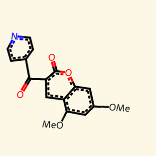 COc1cc(OC)c2cc(C(=O)c3ccncc3)c(=O)oc2c1